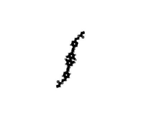 C=CC(=O)OCCc1ccc(C#Cc2cc(C)c(-c3c(C)cc(C#Cc4ccc(CCOC(=O)C=C)cc4)cc3C)c(C)c2)cc1